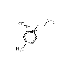 Cc1cc[n+](CCN)cc1.Cl.[Cl-]